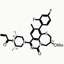 C=CC(=O)N1[C@H](C)CN(c2nc(=O)n3c4c(c(-c5ccc(F)cc5F)c(C)cc24)SC[C@@H](OC)C3)C[C@@H]1C